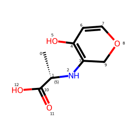 C[C@H](NC1=C(O)C=COC1)C(=O)O